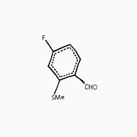 CSc1cc(F)ccc1C=O